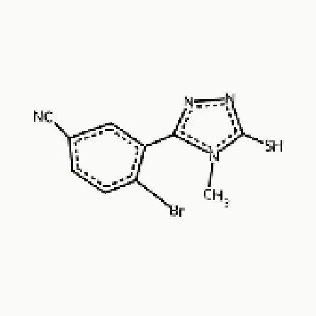 Cn1c(S)nnc1-c1cc(C#N)ccc1Br